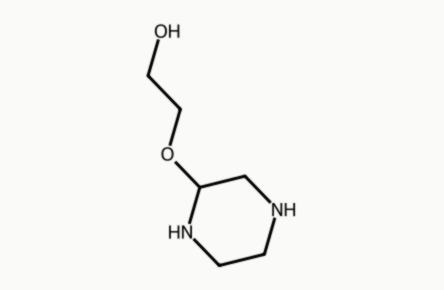 OCCOC1CNCCN1